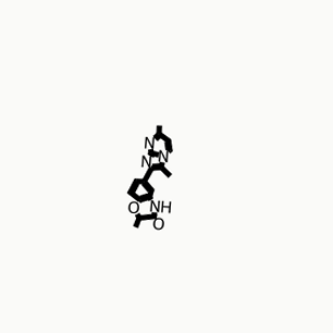 Cc1ccn2c(C)c(-c3ccc4c(c3)NC(=O)C(C)O4)nc2n1